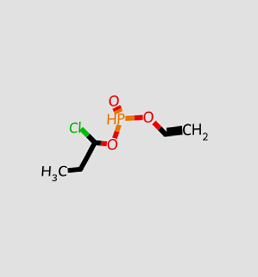 C=CO[PH](=O)OC(Cl)CC